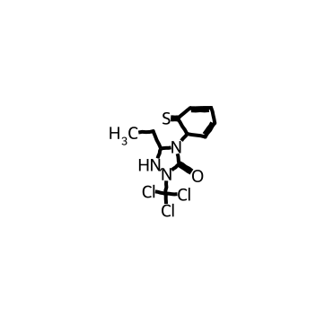 CCC1NN(C(Cl)(Cl)Cl)C(=O)N1C1C=CC=CC1=S